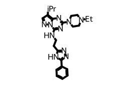 CCN1CCN(c2nc(NCCc3nnc(-c4ccccc4)[nH]3)n3ncc(C(C)C)c3n2)CC1